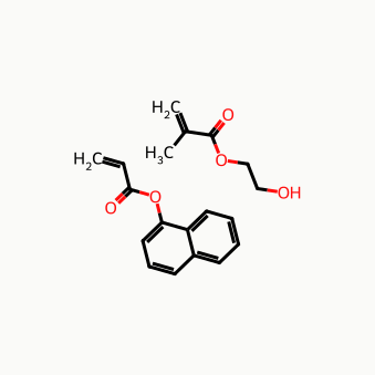 C=C(C)C(=O)OCCO.C=CC(=O)Oc1cccc2ccccc12